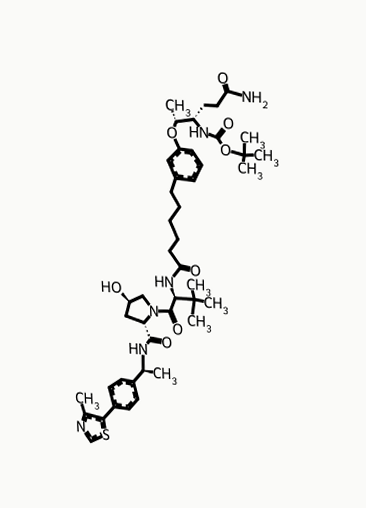 Cc1ncsc1-c1ccc([C@H](C)NC(=O)[C@@H]2C[C@@H](O)CN2C(=O)[C@@H](NC(=O)CCCCCc2cccc(O[C@H](C)[C@H](CCC(N)=O)NC(=O)OC(C)(C)C)c2)C(C)(C)C)cc1